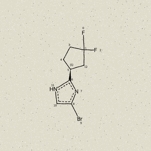 FC1(F)CC[C@H](c2nc(Br)c[nH]2)C1